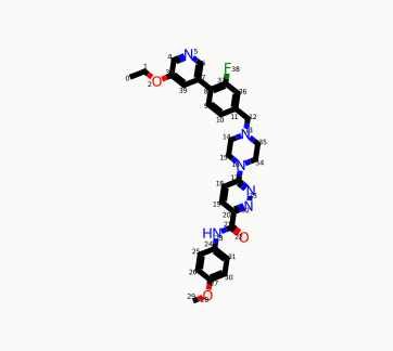 CCOc1cncc(-c2ccc(CN3CCN(c4ccc(C(=O)Nc5ccc(OC)cc5)nn4)CC3)cc2F)c1